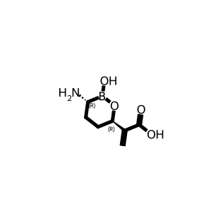 C=C(C(=O)O)[C@H]1CC[C@H](N)B(O)O1